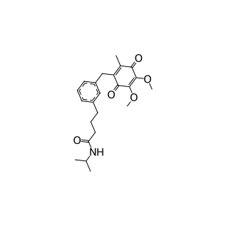 COC1=C(OC)C(=O)C(Cc2cccc(CCCC(=O)NC(C)C)c2)=C(C)C1=O